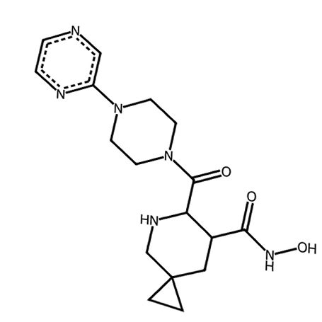 O=C(NO)C1CC2(CC2)CNC1C(=O)N1CCN(c2cnccn2)CC1